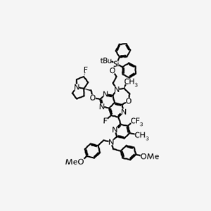 COc1ccc(CN(Cc2ccc(OC)cc2)c2cc(C)c(C(F)(F)F)c(-c3nc4c5c(nc(OC[C@@]67CCCN6C[C@H](F)C7)nc5c3F)N(CCO[Si](c3ccccc3)(c3ccccc3)C(C)(C)C)[C@@H](C)CO4)n2)cc1